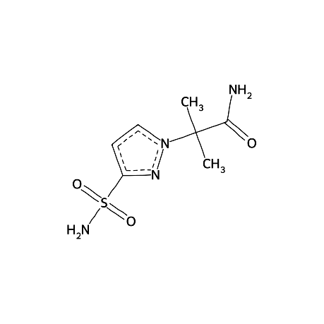 CC(C)(C(N)=O)n1ccc(S(N)(=O)=O)n1